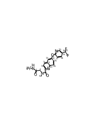 CC(C)NC(=O)CN(C)C(=O)c1ccc2cc(Oc3ccc(C(F)F)cn3)ccc2n1